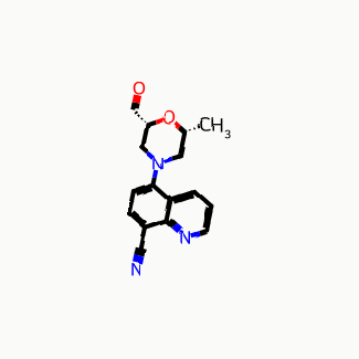 C[C@@H]1CN(c2ccc(C#N)c3ncccc23)C[C@H](C=O)O1